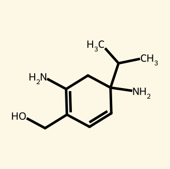 CC(C)C1(N)C=CC(CO)=C(N)C1